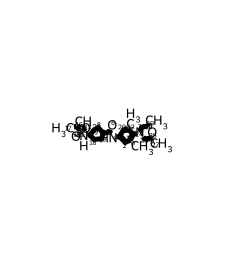 Cc1cc(NC(=O)C2CCC(NS(=O)(=O)C(C)C)CC2)cc(C)c1N1C[C@@H](C)O[C@@H](C)C1